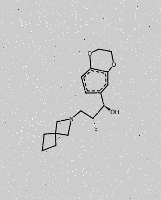 C[C@H](CN1CC2(CCC2)C1)[C@H](O)c1ccc2c(c1)OCCO2